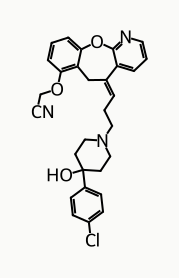 N#CCOc1cccc2c1CC(=CCCN1CCC(O)(c3ccc(Cl)cc3)CC1)c1cccnc1O2